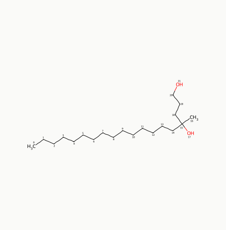 CCCCCCCCCCCCCCCC(C)(O)CCCO